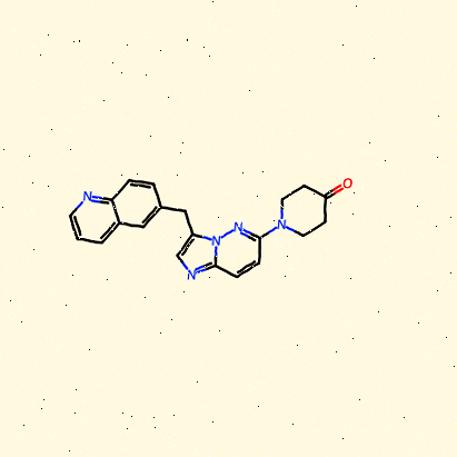 O=C1CCN(c2ccc3ncc(Cc4ccc5ncccc5c4)n3n2)CC1